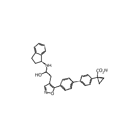 O=C(O)C1(c2ccc(-c3ccc(-c4oncc4CC(O)N[C@H]4CCc5ccccc54)cc3)cc2)CC1